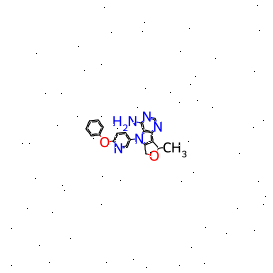 CC1OCc2c1c1ncnc(N)c1n2-c1ccc(Oc2ccccc2)nc1